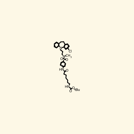 CN(CCCN1c2ccccc2CCc2ccc(Cl)cc21)S(=O)(=O)c1ccc(NC(=O)CCCCCCNC(=O)OC(C)(C)C)cc1